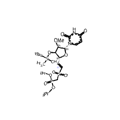 CO[C@@H]1C(O[Si](C)(C)C(C)(C)C)[C@@H](/C=C/S(=O)(=O)CP(=O)(OC(C)C)OC(C)C)O[C@H]1n1ccc(=O)[nH]c1=O